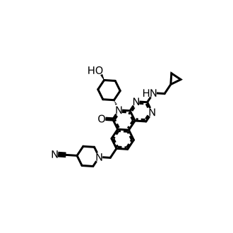 N#CC1CCN(Cc2ccc3c(c2)c(=O)n([C@H]2CC[C@H](O)CC2)c2nc(NCC4CC4)ncc32)CC1